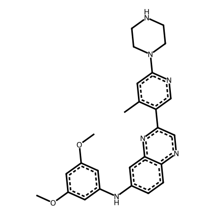 COc1cc(Nc2ccc3ncc(-c4cnc(N5CCNCC5)cc4C)nc3c2)cc(OC)c1